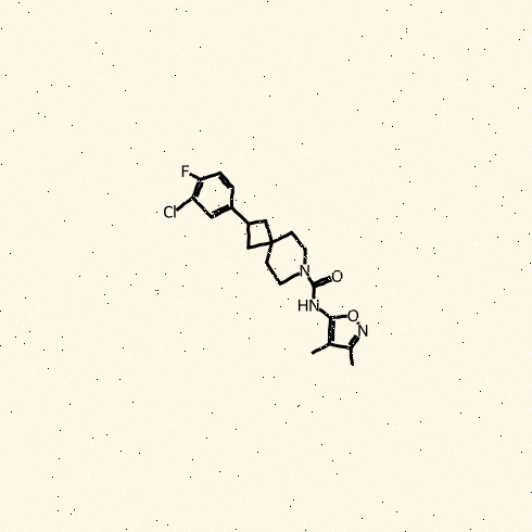 Cc1noc(NC(=O)N2CCC3(CC2)CC(c2ccc(F)c(Cl)c2)C3)c1C